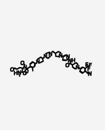 CNC(=O)C(CCC=O)N(C=O)C(=O)c1ccc(N2CCC(N3CCN(CC4CCN(c5ccc(NC(=O)C6CCN(c7ccc(C#N)c(C(F)(F)F)c7)CC6)nc5)CC4)CC3)CC2)cc1C